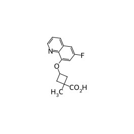 CC1(C(=O)O)CC(Oc2cc(F)cc3cccnc23)C1